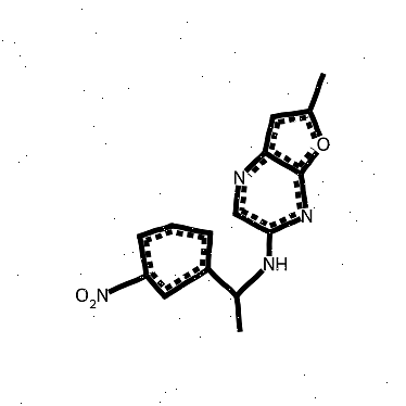 Cc1cc2ncc(NC(C)c3cccc([N+](=O)[O-])c3)nc2o1